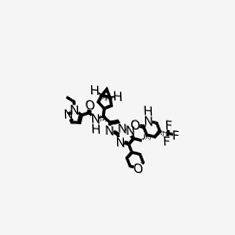 CCn1nccc1C(=O)N[C@H](c1cn2nc(C[C@H]3C[C@@H](C(F)(F)F)CNC3=O)c(C3CCOCC3)nc2n1)C1C[C@@H]2C[C@@H]2C1